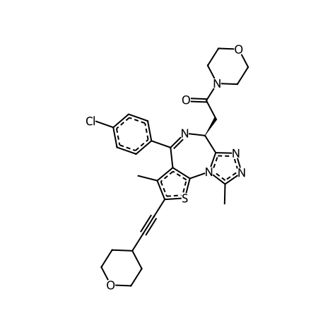 Cc1c(C#CC2CCOCC2)sc2c1C(c1ccc(Cl)cc1)=N[C@@H](CC(=O)N1CCOCC1)c1nnc(C)n1-2